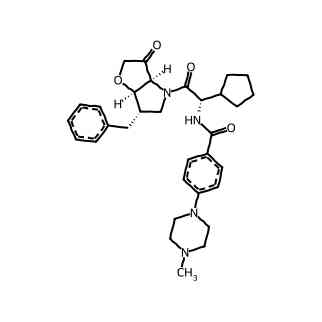 CN1CCN(c2ccc(C(=O)N[C@H](C(=O)N3C[C@H](Cc4ccccc4)[C@H]4OCC(=O)[C@H]43)C3CCCC3)cc2)CC1